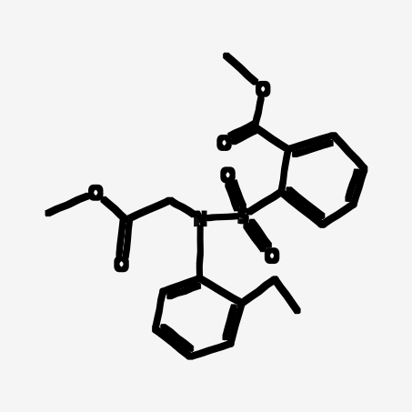 CCc1ccccc1N(CC(=O)OC)S(=O)(=O)c1ccccc1C(=O)OC